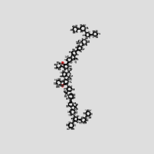 CC1(C)c2cc(-c3cc(-c4ccccc4)cc(-c4cccc(-c5ccccc5)c4)c3)ccc2-c2ccc(-c3ccc4c(c3)C(C)(C)c3cc(-c5cc6c(c7c5oc5ccccc57)-c5ccc7c(c5C6(C)C)C(C)(C)c5cc(-c6ccc8c(c6)C(C)(C)c6cc(-c9ccc%10c(c9)C(C)(C)c9cc(-c%11cc(-c%12ccccc%12)cc(-c%12cccc(-c%13ccccc%13)c%12)c%11)ccc9-%10)ccc6-8)c6oc8ccccc8c6c5-7)ccc3-4)cc21